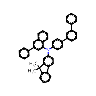 CC1(C)c2ccccc2-c2ccc(N(c3ccc(-c4cccc(-c5ccccc5)c4)cc3)c3cc(-c4ccccc4)cc4ccccc34)cc21